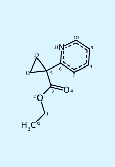 CCOC(=O)C1(c2ccccn2)CC1